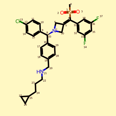 CS(=O)(=O)C(=C1CN([C@H](c2ccc(Cl)cc2)c2ccc(CNCCCC3CC3)cc2)C1)c1cc(F)cc(F)c1